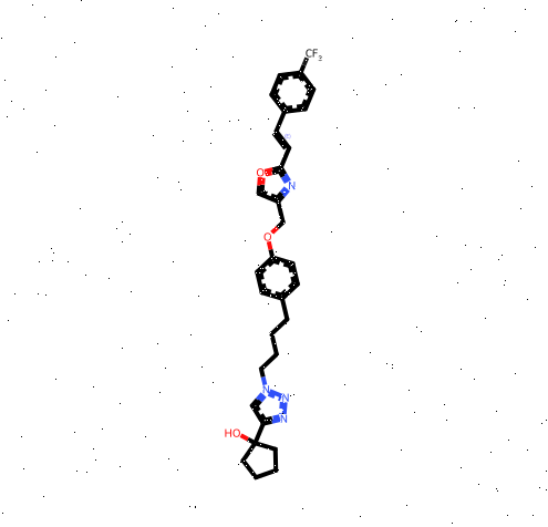 OC1(c2cn(CCCCc3ccc(OCc4coc(/C=C/c5ccc(C(F)(F)F)cc5)n4)cc3)nn2)CCCC1